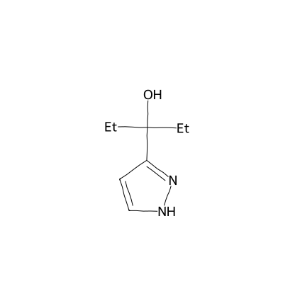 CCC(O)(CC)c1cc[nH]n1